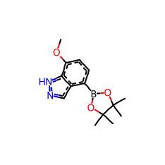 COc1ccc(B2OC(C)(C)C(C)(C)O2)c2cn[nH]c12